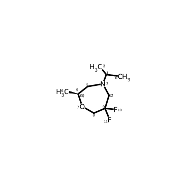 CC(C)N1C[C@H](C)OCC(F)(F)C1